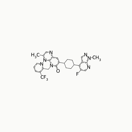 Cc1cnc2cc(C3CCC(c4c(F)cnc5c4cnn5C)CC3)c(=O)n(Cc3ncccc3C(F)(F)F)c2n1